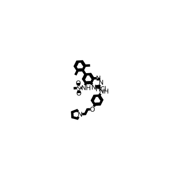 Cc1cccc(C)c1-c1cc(NS(C)(=O)=O)c2nc(Nc3ccc(OCCN4CCCC4)cc3)nnc2c1.Cl